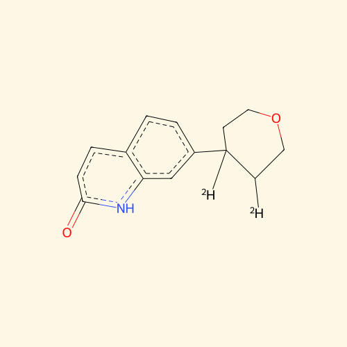 [2H]C1COCCC1([2H])c1ccc2ccc(=O)[nH]c2c1